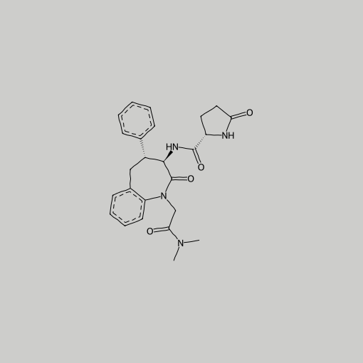 CN(C)C(=O)CN1C(=O)[C@H](NC(=O)[C@@H]2CCC(=O)N2)[C@@H](c2ccccc2)Cc2ccccc21